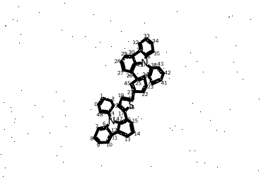 C1=CCCC(n2c3ccccc3c3cccc(-c4ccc(-c5cccc(-c6cccc7c8ccccc8n(-c8ccccc8)c67)c5)s4)c32)=C1